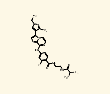 CCc1cc(Nc2nccn3c(-c4cn(CC#N)nc4C(F)(F)F)cnc23)ccc1C(=O)NCCNC(=O)[C@@H](C)N